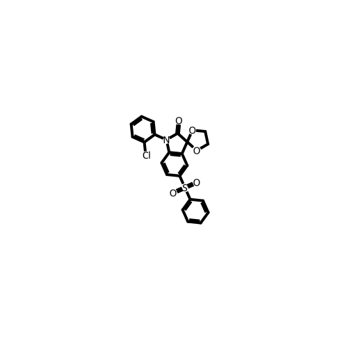 O=C1N(c2ccccc2Cl)c2ccc(S(=O)(=O)c3ccccc3)cc2C12OCCO2